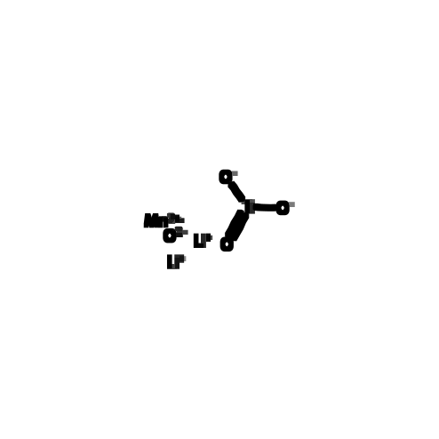 [Li+].[Li+].[Mn+2].[O-2].[O]=[Ti]([O-])[O-]